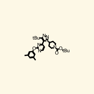 Cc1cc(C)cc(Oc2nccc(-c3c(C(C)(C)C)nnn3C3CCN(C(=O)OC(C)(C)C)CC3)n2)c1